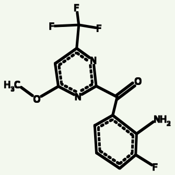 COc1cc(C(F)(F)F)nc(C(=O)c2cccc(F)c2N)n1